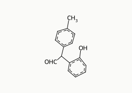 Cc1ccc(C(C=O)c2ccccc2O)cc1